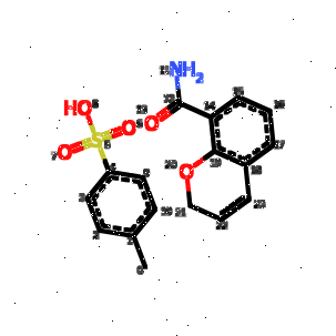 Cc1ccc(S(=O)(=O)O)cc1.NC(=O)c1cccc2c1OCC=C2